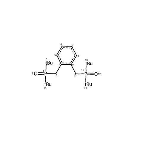 CC(C)(C)P(=O)(Cc1ccccc1CP(=O)(C(C)(C)C)C(C)(C)C)C(C)(C)C